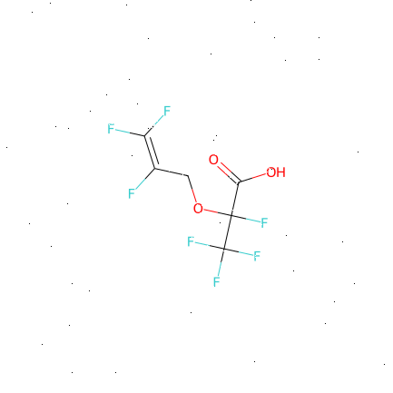 O=C(O)C(F)(OCC(F)=C(F)F)C(F)(F)F